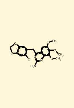 COc1cc2c(Cc3cc4c(cc3Cl)OCO4)nc(N)nc2c(OC)c1OC